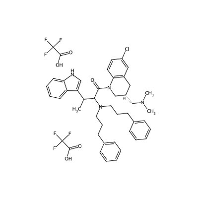 CC(c1c[nH]c2ccccc12)C(C(=O)N1C[C@@H](CN(C)C)Cc2cc(Cl)ccc21)N(CCCc1ccccc1)CCCc1ccccc1.O=C(O)C(F)(F)F.O=C(O)C(F)(F)F